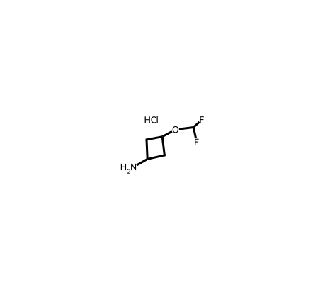 Cl.NC1CC(OC(F)F)C1